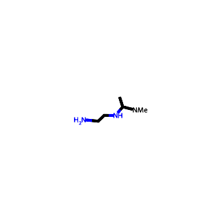 CNC(C)NCCN